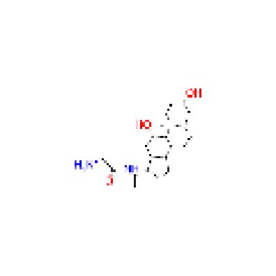 CC(NC(=O)CN)[C@H]1CCC2C3CCC4C[C@@H](O)CC[C@]4(C)C3[C@@H](O)C[C@@]21C